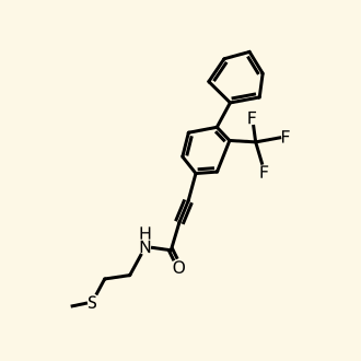 CSCCNC(=O)C#Cc1ccc(-c2ccccc2)c(C(F)(F)F)c1